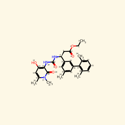 CCOC(=O)C[C@H](NC(=O)Nc1c(O)cc(C)n(C)c1=O)c1cc(C)cc(-c2c(C)cccc2C)c1